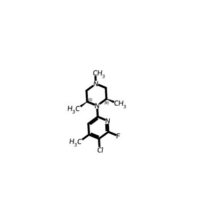 Cc1cc(N2[C@H](C)CN(C)C[C@@H]2C)nc(F)c1Cl